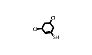 SC1=CC(Cl)CC(Cl)C1